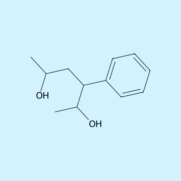 CC(O)CC(c1ccccc1)C(C)O